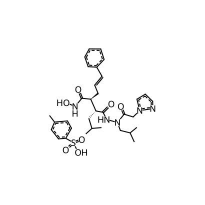 CC(C)C[C@@H](C(=O)NN(CC(C)C)C(=O)Cn1cccn1)[C@H](CC=Cc1ccccc1)C(=O)NO.Cc1ccc(S(=O)(=O)O)cc1